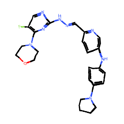 Fc1cnc(N/N=C/c2ccc(Nc3ccc(N4CCCC4)cc3)cn2)nc1N1CCOCC1